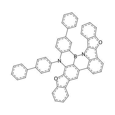 c1ccc(-c2ccc(N3c4ccc(-c5ccccc5)cc4B4c5c(cc6c(oc7ccccc76)c53)-c3cccc5c6oc7ccccc7c6n4c35)cc2)cc1